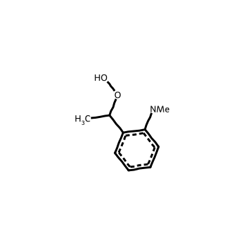 CNc1ccccc1C(C)OO